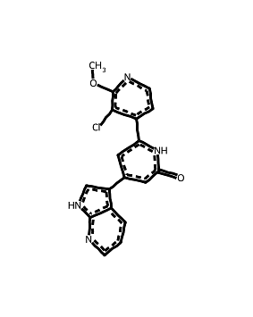 COc1nccc(-c2cc(-c3c[nH]c4ncccc34)cc(=O)[nH]2)c1Cl